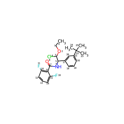 CCOC(Cl)C(NC(=O)c1c(F)cccc1F)c1cccc(C(C)(C)C)c1